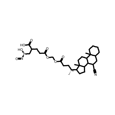 C[C@H](CCC(=O)OCOC(=O)CCC(CP(O)N=O)C(=O)O)C1CCC2C3C(C#N)CC4CCCCC4(C)C3CCC21C